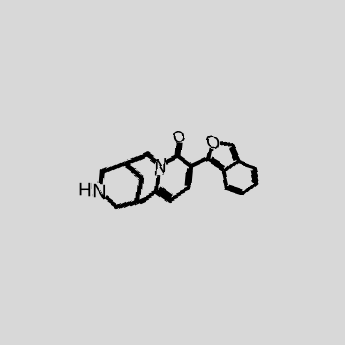 O=c1c(-c2occ3ccccc23)ccc2n1CC1CNCC2C1